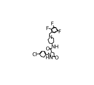 O=C1CC(C(=O)NC2CCN(Cc3cc(F)cc(F)c3F)CC2)N(C2=CC=C(Cl)CC2)N1